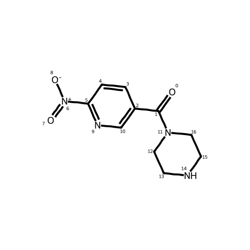 O=C(c1ccc([N+](=O)[O-])nc1)N1CCNCC1